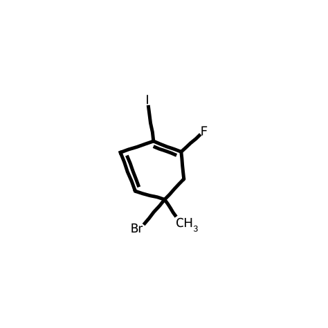 CC1(Br)C=CC(I)=C(F)C1